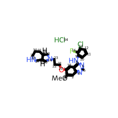 COc1cc2ncnc(Nc3cccc(Cl)c3F)c2cc1OCCCN1C[C@H]2CNCCC[C@H]2C1.Cl